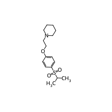 CC(C)S(=O)(=O)c1ccc(OCCN2CCCCC2)cc1